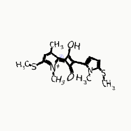 CSC1=[N+](C)/C(=C2\C(=O)C(c3ccc(SC)n3C)=C2O)C(C)=C1